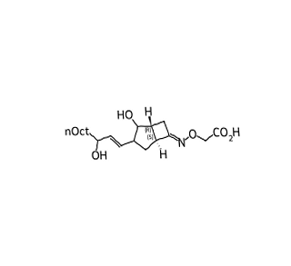 CCCCCCCCC(O)C=CC1C[C@@H]2C(=NOCC(=O)O)C[C@H]2C1O